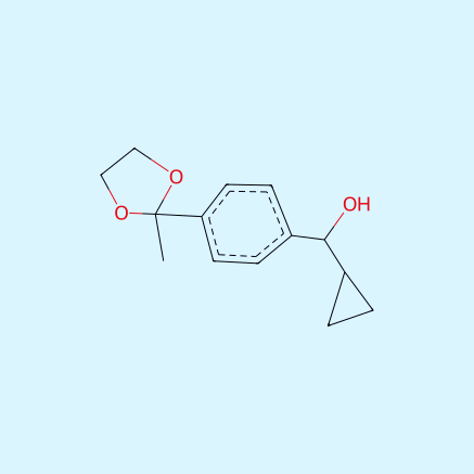 CC1(c2ccc(C(O)C3CC3)cc2)OCCO1